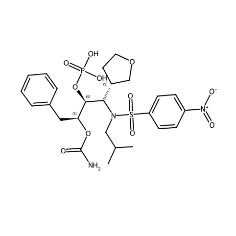 CC(C)CN(C([C@@H]1CCOC1)[C@H](OP(=O)(O)O)[C@H](Cc1ccccc1)OC(N)=O)S(=O)(=O)c1ccc([N+](=O)[O-])cc1